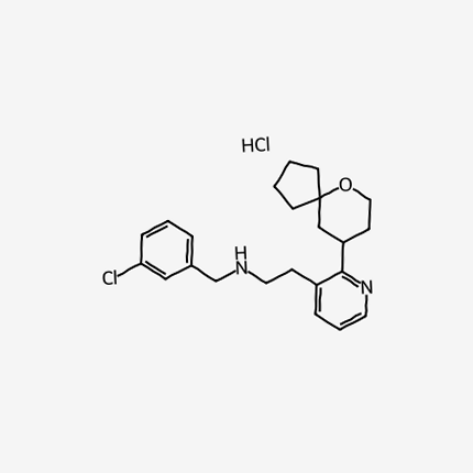 Cl.Clc1cccc(CNCCc2cccnc2C2CCOC3(CCCC3)C2)c1